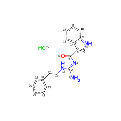 Cl.NC(=NC(=O)c1c[nH]c2ccccc12)NCCc1ccccc1